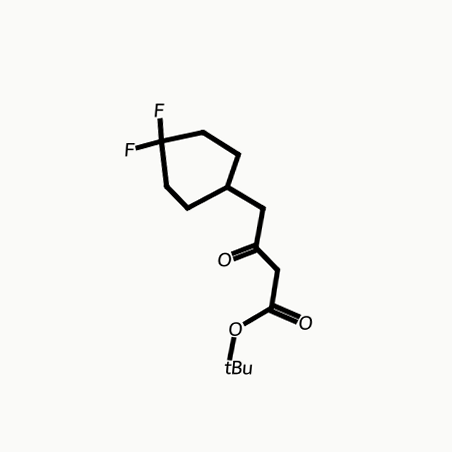 CC(C)(C)OC(=O)CC(=O)CC1CCC(F)(F)CC1